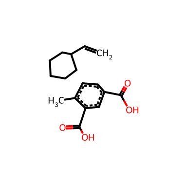 C=CC1CCCCC1.Cc1ccc(C(=O)O)cc1C(=O)O